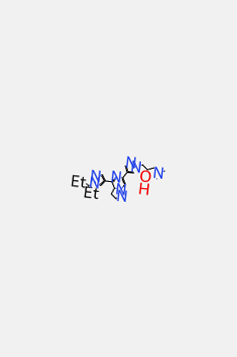 CCC(CC)n1cc(C2=NC(c3cnn(C[C@@H](O)CN(C)C)c3)=CN3N=CCC23)cn1